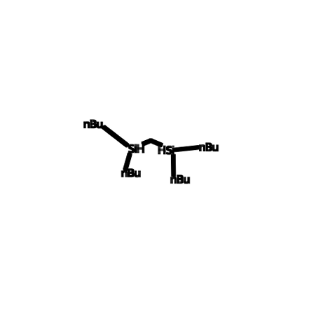 CCCC[SiH](CCCC)C[SiH](CCCC)CCCC